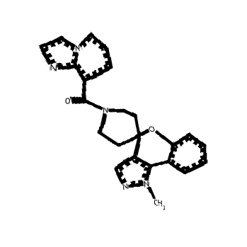 Cn1ncc2c1-c1ccccc1OC21CCN(C(=O)c2cccn3ccnc23)CC1